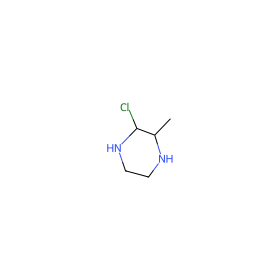 CC1NCCNC1Cl